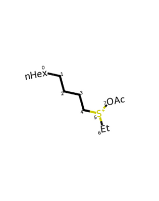 CCCCCCCCCC[S+](CC)OC(C)=O